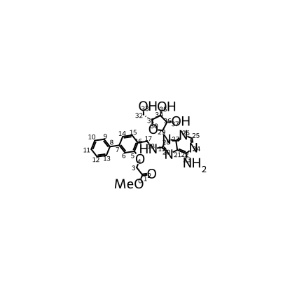 COC(=O)COc1cc(-c2ccccc2)ccc1CNc1nc2c(N)ncnc2n1[C@@H]1O[C@H](CO)[C@@H](O)[C@H]1O